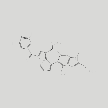 CNCc1cc(C(=O)c2cc(F)c(F)c(F)c2)n2cccc(-c3c(C(F)(F)F)cc4c(nc(COC)n4C)c3C(=O)O)c12